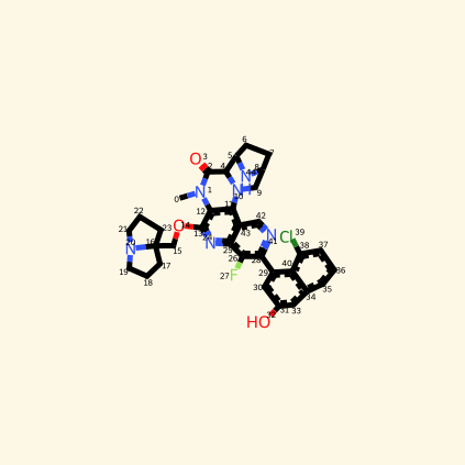 CN1C(=O)C2C3CCC(CN2c2c1c(OCC14CCCN1CCC4)nc1c(F)c(-c4cc(O)cc5cccc(Cl)c45)ncc21)N3